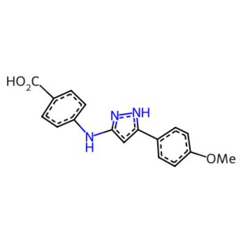 COc1ccc(-c2cc(Nc3ccc(C(=O)O)cc3)n[nH]2)cc1